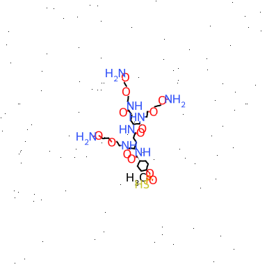 CP(=O)(S)O[C@H]1CC[C@H](C(=O)NC(CCC(=O)NC(CCC(=O)NCCOCCON)C(=O)NCCOCCON)C(=O)NCCOCCON)CC1